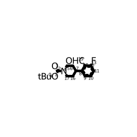 CC(C)(C)OC(=O)N1CCC(c2cccc(F)c2C=O)CC1